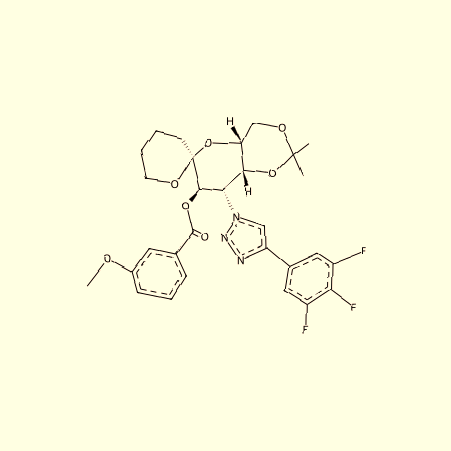 COc1cccc(C(=O)O[C@@H]2[C@@H](n3cc(-c4cc(F)c(F)c(F)c4)nn3)[C@H]3OC(C)(C)OC[C@H]3O[C@@]23CCCCO3)c1